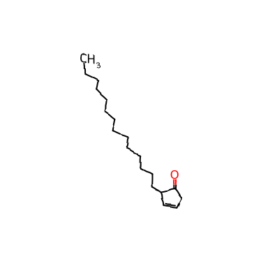 CCCCCCCCCCCCCCC1C=CCC1=O